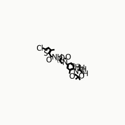 [2H]C1([2H])OC(C)(C)C(=O)N(c2ccc(N3C[C@H](CNC(=O)c4sc(Cl)cc4C)OC3=O)cc2C)C1([2H])[2H]